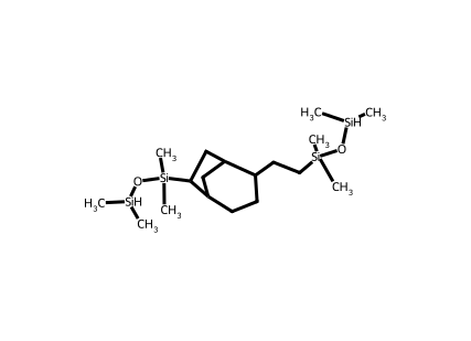 C[SiH](C)O[Si](C)(C)CCC1CCC2CC1CC2[Si](C)(C)O[SiH](C)C